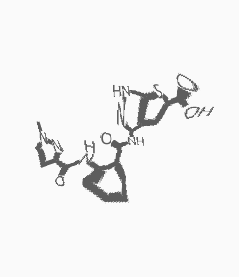 Cn1ccc(C(=O)Nc2ccccc2C(=O)Nc2n[nH]c3sc(C(=O)O)cc23)n1